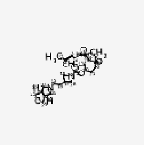 CC(C)=CC[C@H]1O[C@]1(C)[C@H]1C[C@H](OC(=O)N2CC(CCN3C[C@H]4COC[C@H]4C3)C2)CC[C@]12CO2